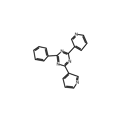 c1ccc(-c2nc(-c3cccnc3)nc(-c3cccnc3)n2)cc1